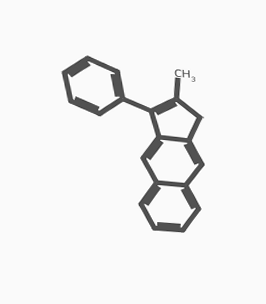 CC1=C(c2ccccc2)c2cc3ccccc3cc2[CH]1